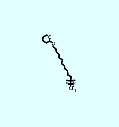 FC(F)(F)C(F)(F)C(F)(F)CCCCCCCCCCCCOC1CCCCO1